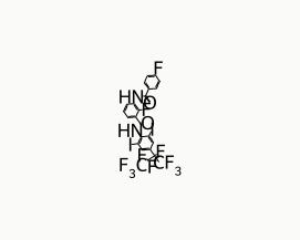 O=C(Nc1cccc(C(=O)Nc2c(I)cc(C(F)(C(F)(F)F)C(F)(F)C(F)(F)F)cc2I)c1F)c1ccc(F)cc1